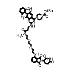 CN(CCOCCOCCNc1cccc2c1C(=O)N(C1CCC(=O)NC1=O)C2=O)C(=O)CCNc1nc(N2CCN(C(=O)OC(C)(C)C)CC2)c2cc(Cl)c(-c3c(O)cccc3F)c(F)c2n1